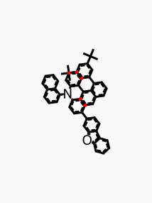 CC(C)(C)c1cc(-c2cccc3cccc(-c4ccccc4N(c4ccc(-c5ccc6c(c5)oc5ccccc56)cc4)c4cccc5ccccc45)c23)cc(C(C)(C)C)c1